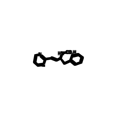 O=C(O)N[C@H](/C=C/c1ncccn1)Cc1ccccc1